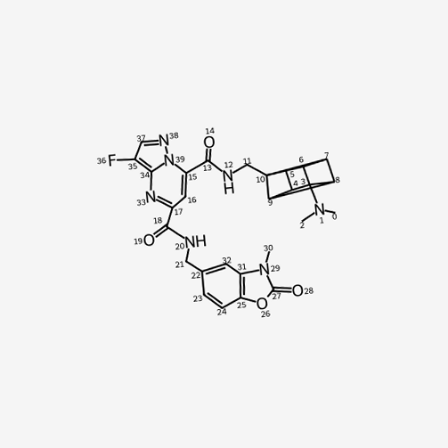 CN(C)C12C3C4C1C1C2C3C41CNC(=O)c1cc(C(=O)NCc2ccc3oc(=O)n(C)c3c2)nc2c(F)cnn12